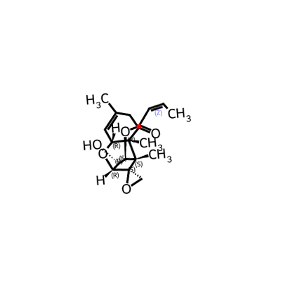 C/C=C\C(=O)O[C@@H]1[C@@H](O)[C@H]2O[C@@H]3C=C(C)CC[C@]3(C)[C@]1(C)[C@]21CO1